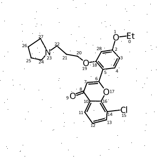 CCOc1ccc(-c2cc(=O)c3cccc(Cl)c3o2)c(OCCCN2CCCC2)c1